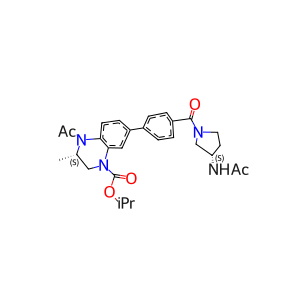 CC(=O)N[C@H]1CCN(C(=O)c2ccc(-c3ccc4c(c3)N(C(=O)OC(C)C)C[C@H](C)N4C(C)=O)cc2)C1